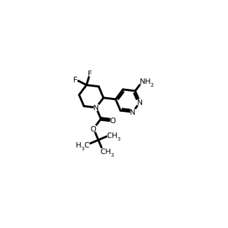 CC(C)(C)OC(=O)N1CCC(F)(F)CC1c1cnnc(N)c1